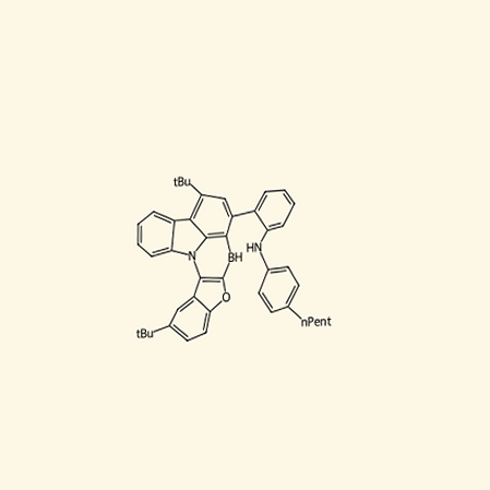 CCCCCc1ccc(Nc2ccccc2-c2cc(C(C)(C)C)c3c4ccccc4n4c3c2Bc2oc3ccc(C(C)(C)C)cc3c2-4)cc1